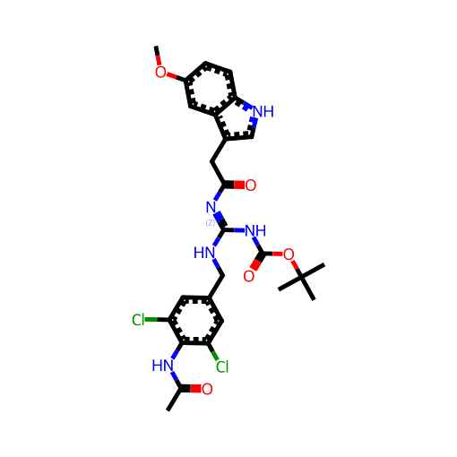 COc1ccc2[nH]cc(CC(=O)/N=C(/NCc3cc(Cl)c(NC(C)=O)c(Cl)c3)NC(=O)OC(C)(C)C)c2c1